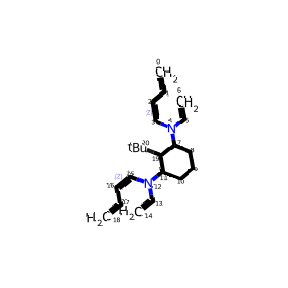 C=C/C=C\N(C=C)C1CCCC(N(C=C)/C=C\C=C)C1C(C)(C)C